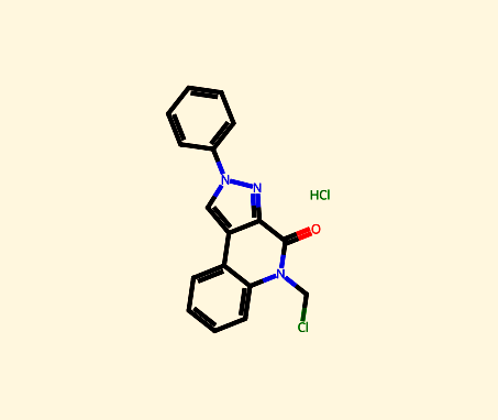 Cl.O=c1c2nn(-c3ccccc3)cc2c2ccccc2n1CCl